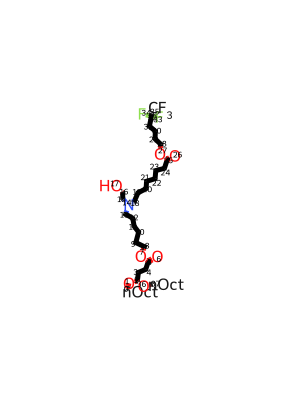 CCCCCCCCOC(CCC(=O)OCCCCCCN(CCO)CCCCCCCC(=O)OCCCCC(F)(F)C(F)(F)F)OCCCCCCCC